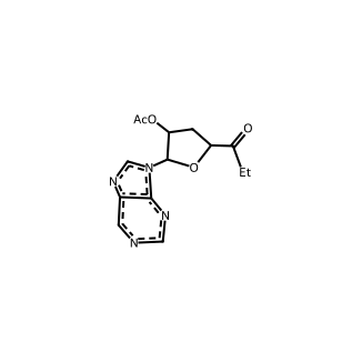 CCC(=O)C1CC(OC(C)=O)C(n2cnc3cncnc32)O1